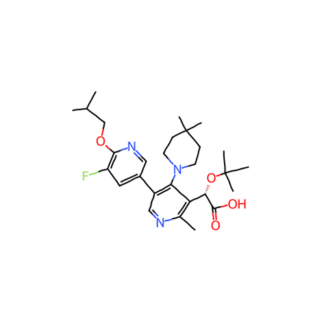 Cc1ncc(-c2cnc(OCC(C)C)c(F)c2)c(N2CCC(C)(C)CC2)c1[C@H](OC(C)(C)C)C(=O)O